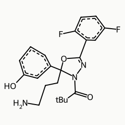 CC(C)(C)C(=O)N1N=C(c2cc(F)ccc2F)OC1(CCCN)c1cccc(O)c1